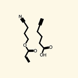 C#CCCCC(=O)O.C=CC(=O)OCCCC#N